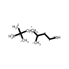 BC(C)(C)C.CC(C)CCS